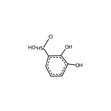 Oc1cccc([SiH](O)Cl)c1O